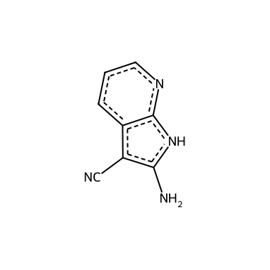 N#Cc1c(N)[nH]c2ncccc12